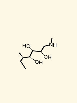 CC[C@@H](C)[C@@H](O)[C@H](O)[C@@H](O)CNC